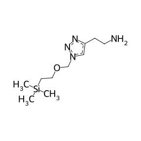 C[Si](C)(C)CCOCn1cc(CCN)nn1